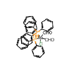 O=[CH][Ru]([Cl])([CH]=O)([PH](c1ccccc1)(c1ccccc1)c1ccccc1)[PH](c1ccccc1)(c1ccccc1)c1ccccc1